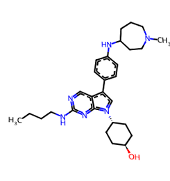 CCCCNc1ncc2c(-c3ccc(NC4CCCN(C)CC4)cc3)cn([C@H]3CC[C@H](O)CC3)c2n1